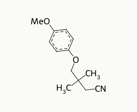 COc1ccc(OCC(C)(C)CC#N)cc1